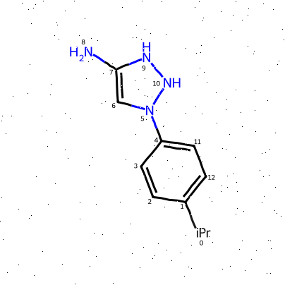 CC(C)c1ccc(N2C=C(N)NN2)cc1